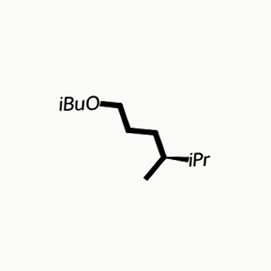 CC(C)COCCC[C@H](C)C(C)C